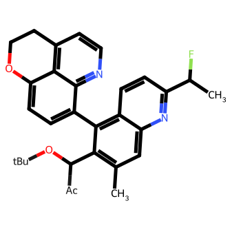 CC(=O)C(OC(C)(C)C)c1c(C)cc2nc(C(C)F)ccc2c1-c1ccc2c3c(ccnc13)CCO2